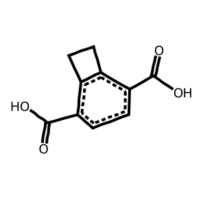 O=C(O)c1ccc(C(=O)O)c2c1CC2